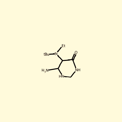 CCN(C1C(=O)NCNC1N)C(C)(C)C